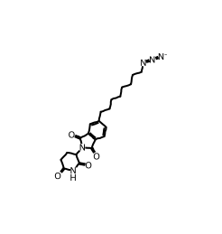 [N-]=[N+]=NCCCCCCCCc1ccc2c(c1)C(=O)N(C1CCC(=O)NC1=O)C2=O